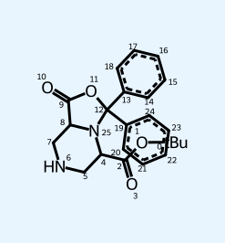 CC(C)(C)OC(=O)C1CNCC2C(=O)OC(c3ccccc3)(c3ccccc3)N12